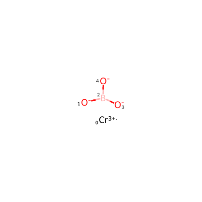 [Cr+3].[O-]B([O-])[O-]